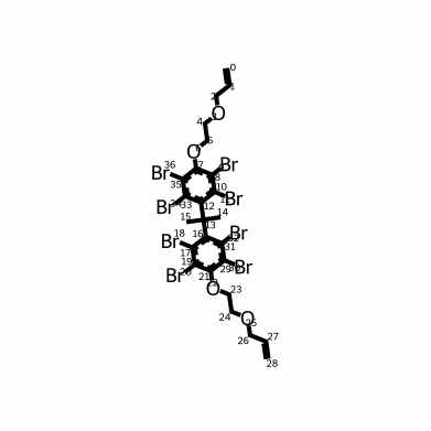 C=CCOCCOc1c(Br)c(Br)c(C(C)(C)c2c(Br)c(Br)c(OCCOCC=C)c(Br)c2Br)c(Br)c1Br